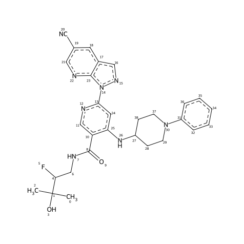 CC(C)(O)C(F)CNC(=O)c1cnc(-n2ncc3cc(C#N)cnc32)cc1NC1CCN(c2ccccc2)CC1